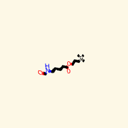 C[Si](C)(C)CCCOC(=O)CCCCNC=O